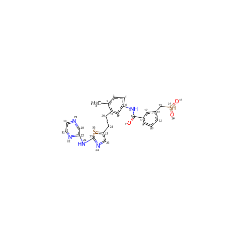 Cc1ccc(NC(=O)c2cccc(C[SH](=O)=O)c2)cc1CCc1cnc(Nc2cnccn2)s1